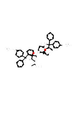 COc1ccc(C(Nc2ccn([C@@H]3O[C@H](C(C)O)[C@@H](OC(c4ccccc4)(c4ccccc4)c4ccc(OC)cc4)C3(F)F)c(=O)n2)(c2ccccc2)c2ccccc2)cc1